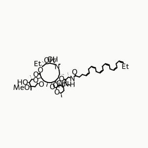 CC/C=C\C/C=C\C/C=C\C/C=C\C/C=C\C/C=C\CCC(=O)N[C@@H](C)C(=O)N(C)[C@H]1C[C@@H](C)O[C@@H](O[C@@H]2[C@@H](C)[C@H](O[C@H]3C[C@@](C)(OC)[C@@H](O)[C@H](C)O3)[C@@H](C)C(=O)O[C@H](CC)[C@@](C)(O)[C@H](O)[C@@H](C)N(C)C[C@H](C)C[C@@]2(C)O)[C@@H]1O